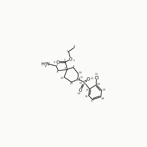 CCOC(=O)C1(CCN)CCN(S(=O)(=O)c2ccccc2Cl)CC1